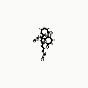 O=C=NCCCCCC(N=C=O)(C1CCCCC(=O)N1)C1CCCCC(=O)N1